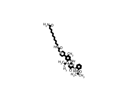 Cc1cc(Nc2ncc(Cl)c(Nc3ccccc3S(=O)(=O)C(C)C)n2)c(OC(C)C)cc1C1CCN(CC(=O)NCCCCCCCCCCC(N)=O)CC1